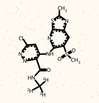 [2H]C([2H])([2H])NC(=O)c1nnc(Cl)cc1Nc1nc2sc(C)nc2cc1S(C)(=O)=O